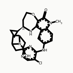 Cn1c(=O)c2c(c3cc(Nc4nc(N5C6CC(O)CC5C6)ncc4Cl)ccc31)N[C@@H](C1CC1)CCO2